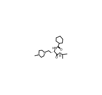 CC(C)NC(=O)[C@H](CCN1CCN(C)CC1)NC(=O)C1CCCCC1